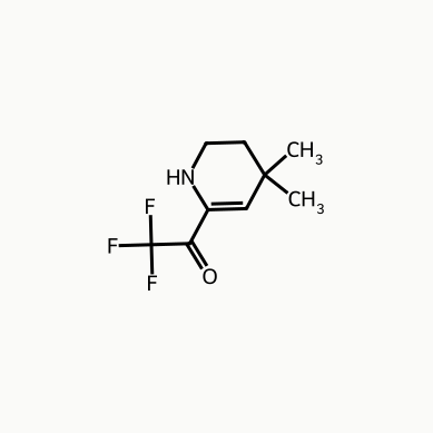 CC1(C)C=C(C(=O)C(F)(F)F)NCC1